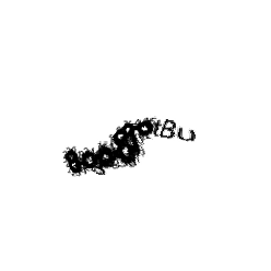 CC(C)(C)c1ccc(-c2ccc3ccc4c(-c5ccc6c(c5)sc5cc(-c7cccc8ccccc78)ccc56)ccc5ccc2c3c54)cc1